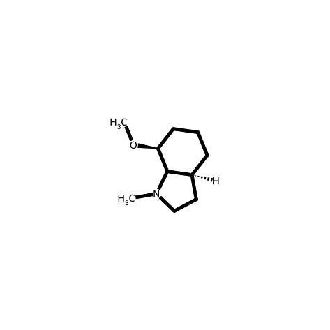 CO[C@H]1CCC[C@H]2CCN(C)C21